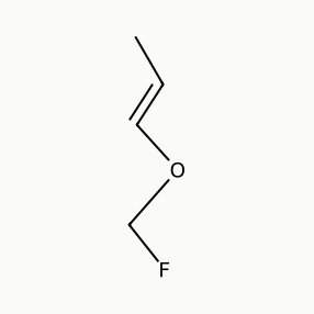 CC=COCF